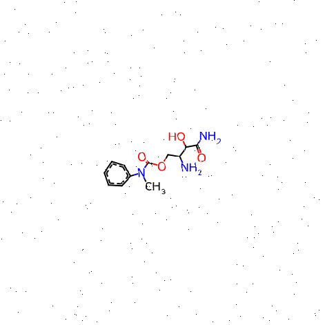 CN(C(=O)OCC(N)C(O)C(N)=O)c1ccccc1